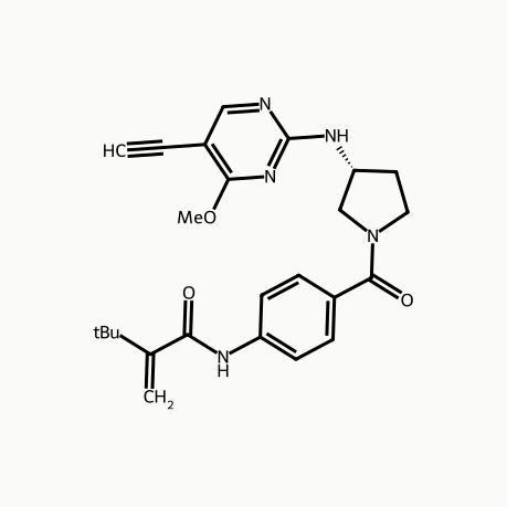 C#Cc1cnc(N[C@@H]2CCN(C(=O)c3ccc(NC(=O)C(=C)C(C)(C)C)cc3)C2)nc1OC